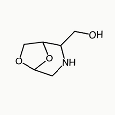 OCC1NCC2OCC1O2